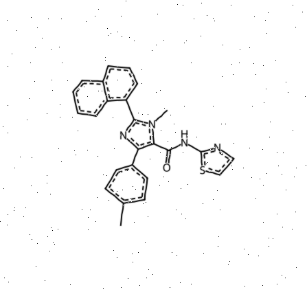 Cc1ccc(-c2nc(-c3cccc4ccccc34)n(C)c2C(=O)Nc2nccs2)cc1